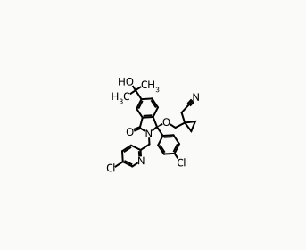 CC(C)(O)c1ccc2c(c1)C(=O)N(Cc1ccc(Cl)cn1)[C@@]2(OCC1(CC#N)CC1)c1ccc(Cl)cc1